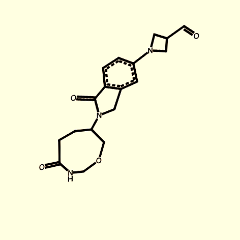 O=CC1CN(c2ccc3c(c2)CN(C2CCC(=O)NCOC2)C3=O)C1